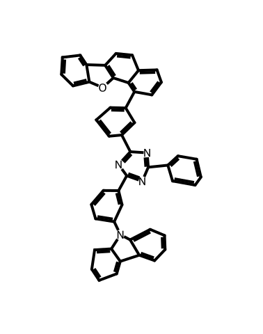 c1ccc(-c2nc(-c3cccc(-c4cccc5ccc6c7ccccc7oc6c45)c3)nc(-c3cccc(-n4c5ccccc5c5ccccc54)c3)n2)cc1